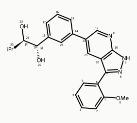 COc1ccccc1-c1n[nH]c2ncc(-c3cccc([C@H](O)[C@H](O)C(C)C)c3)cc12